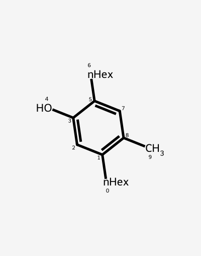 CCCCCCc1cc(O)c(CCCCCC)cc1C